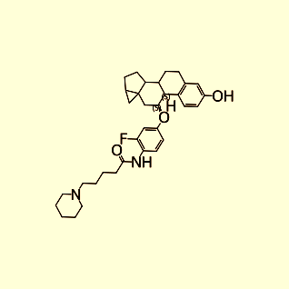 O=C(CCCCN1CCCCC1)Nc1ccc(O[C@H]2CC34CC3CCC4C3CCc4cc(O)ccc4[C@H]32)cc1F